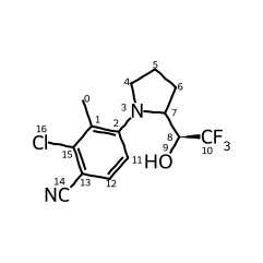 Cc1c(N2CCCC2[C@H](O)C(F)(F)F)ccc(C#N)c1Cl